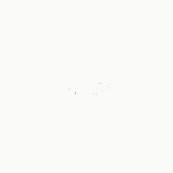 CCCNC(=S)N[C@H]1CC[C@@H](Nc2nc3c(c(N(C)C)n2)CCCC3)CC1